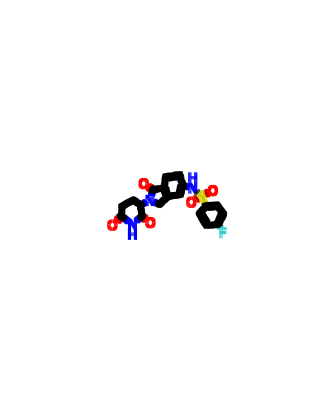 O=C1CCC(N2Cc3cc(NS(=O)(=O)c4ccc(F)cc4)ccc3C2=O)C(=O)N1